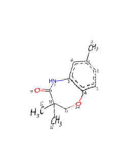 Cc1ccc2c(c1)NC(=O)C(C)(C)CO2